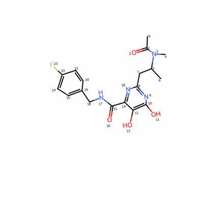 CC(=O)N(C)C(C)Cc1nc(O)c(O)c(C(=O)NCc2ccc(F)cc2)n1